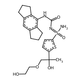 CC(O)(COCCO)c1ccc(S(N)(=O)=NC(=O)Nc2c3c(cc4c2CCC4)CCC3)s1